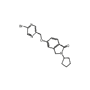 O=C1c2ccc(OCc3cnc(Br)cn3)cc2CN1C1CCCC1